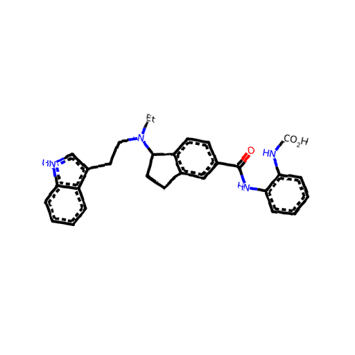 CCN(CCc1c[nH]c2ccccc12)C1CCc2cc(C(=O)Nc3ccccc3NC(=O)O)ccc21